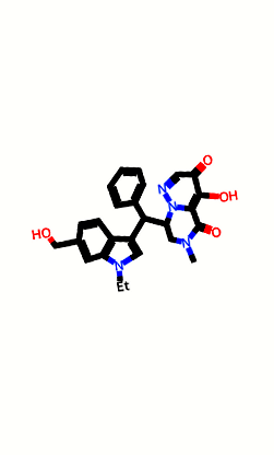 CCn1cc(C(c2ccccc2)C2CN(C)C(=O)c3c(O)c(=O)cnn32)c2ccc(CO)cc21